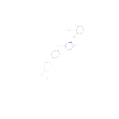 CN(C)C1CCN(c2ccc(Nc3ncc(F)c(C(F)(F)c4ccccc4P(C)(C)=O)n3)cc2)CC1